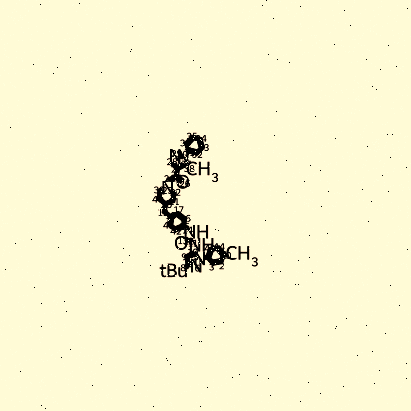 Cc1ccc(-n2nc(C(C)(C)C)cc2NC(=O)Nc2ccc(CC3CCN(CC(=O)c4cnn(-c5ccccc5)c4C)CC3)cc2)cc1